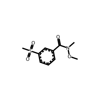 CON(C)C(=O)c1cccc(S(C)(=O)=O)c1